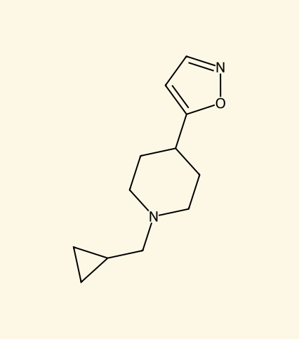 c1cc(C2CCN(CC3CC3)CC2)on1